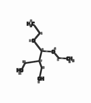 CCOC(OCC)C(CO)CO